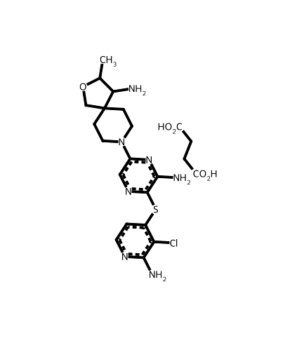 CC1OCC2(CCN(c3cnc(Sc4ccnc(N)c4Cl)c(N)n3)CC2)C1N.O=C(O)CCC(=O)O